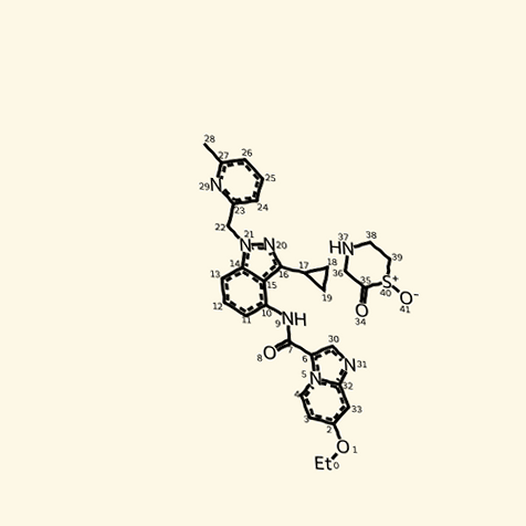 CCOc1ccn2c(C(=O)Nc3cccc4c3c(C3CC3)nn4Cc3cccc(C)n3)cnc2c1.O=C1CNCC[S+]1[O-]